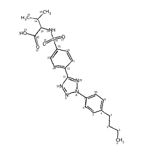 CCCCc1ccc(-n2nnc(-c3ccc(S(=O)(=O)NC(C(=O)O)C(C)C)cc3)n2)cc1